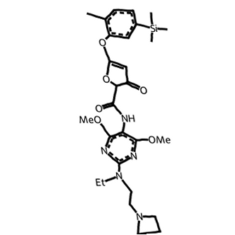 CCN(CCN1CCC1)c1nc(OC)c(NC(=O)C2OC(Oc3cc([Si](C)(C)C)ccc3C)=CC2=O)c(OC)n1